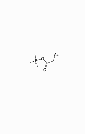 CC(=O)CC(=O)O[PH](C)(C)C